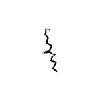 CCCCNC(=O)CCCCO